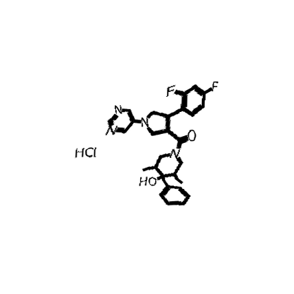 CC1CN(C(=O)C2CN(c3cncnc3)CC2c2ccc(F)cc2F)CC(C)C1(O)c1ccccc1.Cl